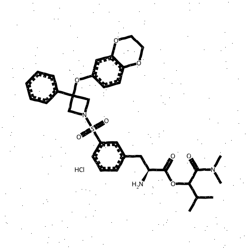 CC(C)C(OC(=O)[C@@H](N)Cc1cccc(S(=O)(=O)N2CC(Oc3ccc4c(c3)OCCO4)(c3ccccc3)C2)c1)C(=O)N(C)C.Cl